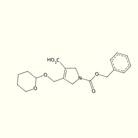 O=C(O)C1=C(COC2CCCCO2)CN(C(=O)OCc2ccccc2)C1